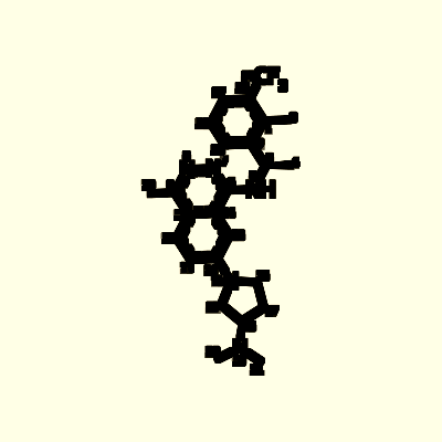 Cc1c([C@@H](C)Nc2nnc(C)c3ccc(N4CC[C@@H](N(C)C)C4)cc23)cccc1C(F)(F)F